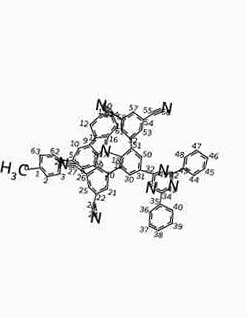 Cc1ccc(-c2ccc3c(c2)c2ccccc2n3-c2c(-c3cc(C#N)cc(C#N)c3)cc(-c3nc(-c4ccccc4)nc(-c4ccccc4)n3)cc2-c2cc(C#N)cc(C#N)c2)cc1